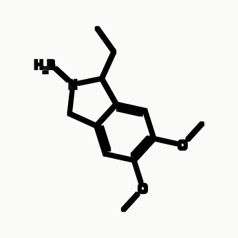 BN1Cc2cc(OC)c(OC)cc2C1CC